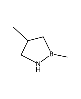 CB1CC(C)CN1